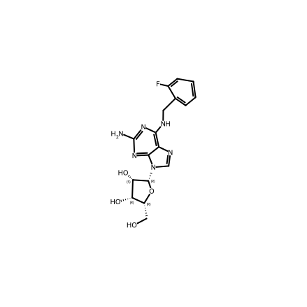 Nc1nc(NCc2ccccc2F)c2ncn([C@@H]3O[C@H](CO)[C@H](O)[C@@H]3O)c2n1